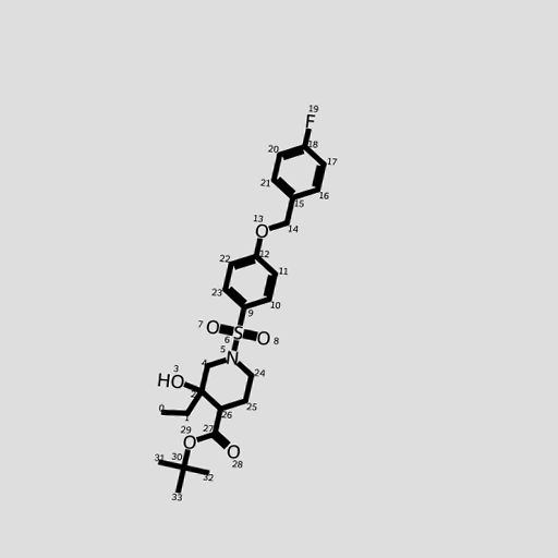 CCC1(O)CN(S(=O)(=O)c2ccc(OCc3ccc(F)cc3)cc2)CCC1C(=O)OC(C)(C)C